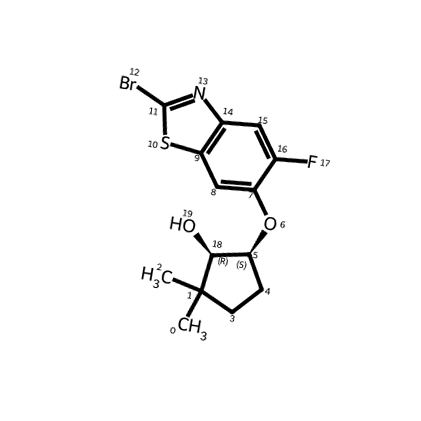 CC1(C)CC[C@H](Oc2cc3sc(Br)nc3cc2F)[C@@H]1O